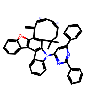 C=C1/C=C\C=C/CC(C)(C)c2c1c1oc3ccccc3c1c1c3ccccc3n(-c3cc(-c4ccccc4)nc(-c4ccccc4)n3)c21